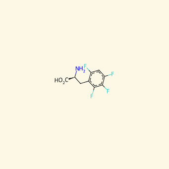 N[C@@H](Cc1c(F)cc(F)c(F)c1F)C(=O)O